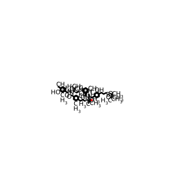 CCC[C@@H](N(NC(=O)c1ccc(CC)c(O)c1C)C(=O)c1cc(C)c(CCC[C@@H](N(NC(=O)c2ccc(CCCB3OC(C)(C)C(C)(C)O3)c(O)c2C)C(=O)c2cc(C)cc(C)c2)C(C)(C)C)c(C)c1)C(C)(C)C